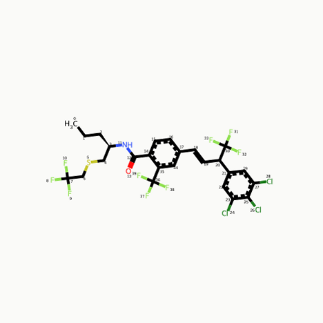 CCC[C@H](CSCC(F)(F)F)NC(=O)c1ccc(/C=C/C(c2cc(Cl)c(Cl)c(Cl)c2)C(F)(F)F)cc1C(F)(F)F